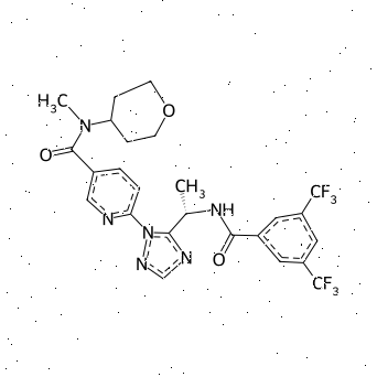 C[C@H](NC(=O)c1cc(C(F)(F)F)cc(C(F)(F)F)c1)c1ncnn1-c1ccc(C(=O)N(C)C2CCOCC2)cn1